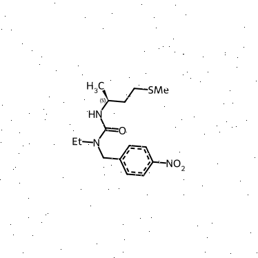 CCN(Cc1ccc([N+](=O)[O-])cc1)C(=O)N[C@@H](C)CCSC